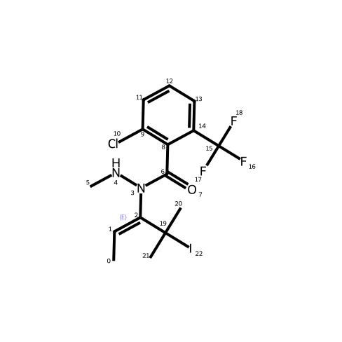 C/C=C(/N(NC)C(=O)c1c(Cl)cccc1C(F)(F)F)C(C)(C)I